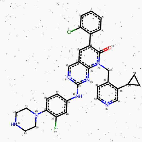 O=c1c(-c2ccccc2Cl)cc2cnc(Nc3ccc(N4CCNCC4)c(F)c3)nc2n1Cc1ccncc1C1CC1